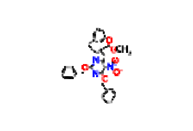 COC(=O)[C@]1(Cc2nc(OCc3ccccc3)nc(OCc3ccccc3)c2[N+](=O)[O-])CCCc2ccccc21